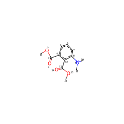 COC(=O)c1cccc(N(C)C)c1C(=O)OC